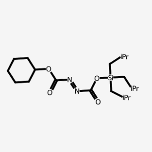 CC(C)C[Si](CC(C)C)(CC(C)C)OC(=O)N=NC(=O)OC1CCCCC1